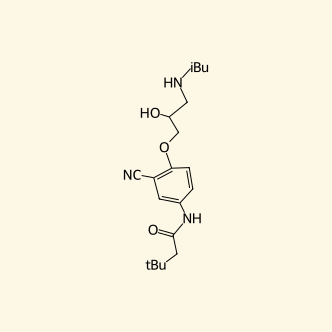 CCC(C)NCC(O)COc1ccc(NC(=O)CC(C)(C)C)cc1C#N